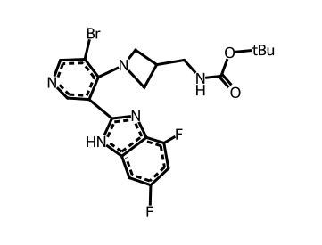 CC(C)(C)OC(=O)NCC1CN(c2c(Br)cncc2-c2nc3c(F)cc(F)cc3[nH]2)C1